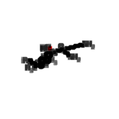 CC(C)CCCC(C)[C@H]1CC[C@H]2[C@@H]3CC=C4C[C@@H](SSCCC(=O)N(CCCN)CCCCCCCCN)CC[C@]4(C)[C@H]3CC[C@]12C.Cl.Cl